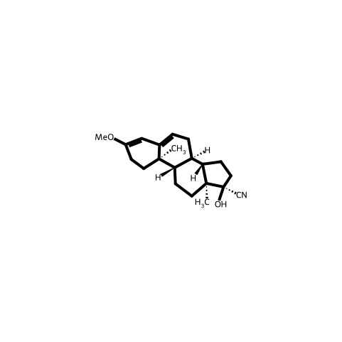 COC1=CC2=CC[C@@H]3[C@H](CC[C@@]4(C)[C@H]3CC[C@]4(O)C#N)[C@@]2(C)CC1